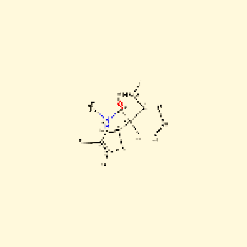 CC1=C(C)CC(C2(C(=O)[NH][Ti])CCCCC2[SiH](C)C)=C1